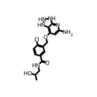 CC(O)CNC(=O)c1ccc(Cl)c(COc2cc(N)nc3c2NNN3)c1